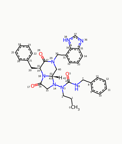 CCCN(C(=O)NCc1ccccc1)N1CC(=O)N2[C@@H](Cc3ccccc3)C(=O)N(Cc3cccc4nc[nH]c34)C[C@@H]21